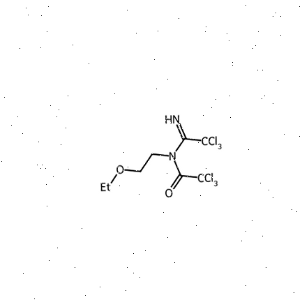 CCOCCN(C(=N)C(Cl)(Cl)Cl)C(=O)C(Cl)(Cl)Cl